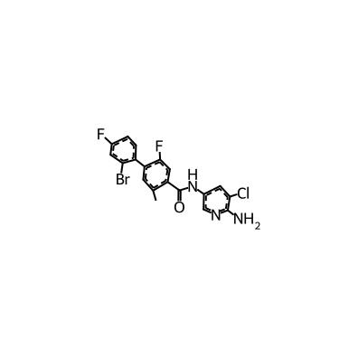 Cc1cc(-c2ccc(F)cc2Br)c(F)cc1C(=O)Nc1cnc(N)c(Cl)c1